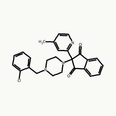 Cc1ccnc(C2(N3CCN(Cc4ccccc4Cl)CC3)C(=O)c3ccccc3C2=O)c1